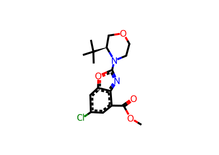 COC(=O)c1cc(Cl)cc2oc(N3CCOC[C@@H]3C(C)(C)C)nc12